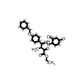 CCOC(=O)C(=O)C(C)/C(=N\Nc1ccc(Cl)cc1Cl)c1ccc(OCc2ccccc2)cc1